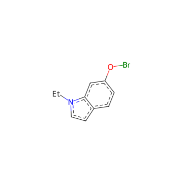 CCn1ccc2ccc(OBr)cc21